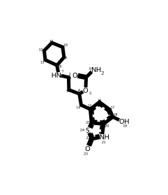 NC(=O)OC(CCNC1CCCCC1)Cc1ccc(O)c2[nH]c(=O)sc12